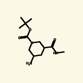 CNC(=O)C1CC(N)CN(C(=O)OC(C)(C)C)C1